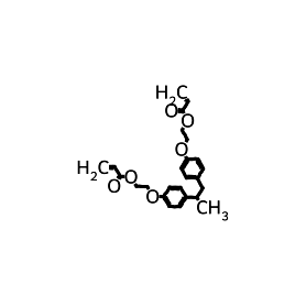 C=CC(=O)OCCOc1ccc(CC(C)c2ccc(OCCOC(=O)C=C)cc2)cc1